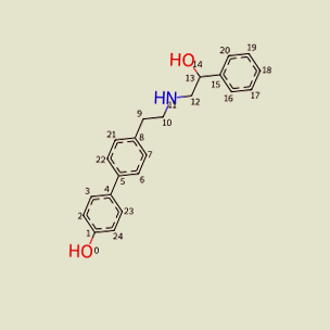 Oc1ccc(-c2ccc(CCNCC(O)c3ccccc3)cc2)cc1